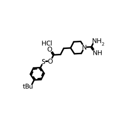 CC(C)(C)c1ccc(SOC(=O)CCC2CCN(C(=N)N)CC2)cc1.Cl